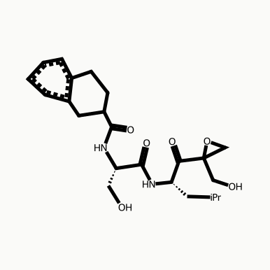 CC(C)C[C@H](NC(=O)[C@H](CO)NC(=O)C1CCc2ccccc2C1)C(=O)C1(CO)CO1